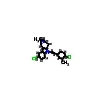 Cc1cc(C#Cn2c3c(c4cc(Cl)ccc42)C2CCC(C3)N2C)ccc1Cl